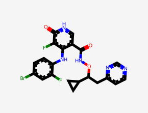 O=C(NOC(Cc1ccncn1)C1CC1)c1c[nH]c(=O)c(F)c1Nc1ccc(Br)cc1F